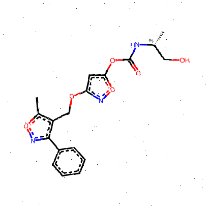 Cc1onc(-c2ccccc2)c1COc1cc(OC(=O)N[C@H](C)CO)on1